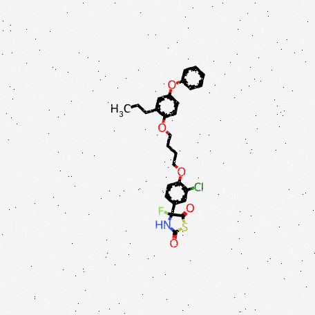 CCCc1cc(Oc2ccccc2)ccc1OCCCCOc1ccc(C2(F)NC(=O)SC2=O)cc1Cl